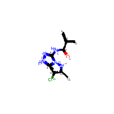 C=C(C)C(=O)Nc1n[nH]c2c(Cl)c(C)nn12